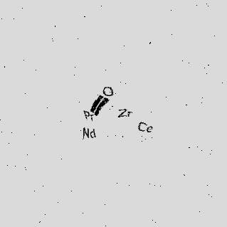 [Ce].[Nd].[O]=[Pr].[Zr]